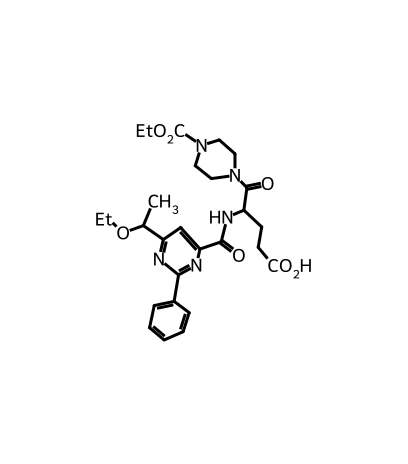 CCOC(=O)N1CCN(C(=O)C(CCC(=O)O)NC(=O)c2cc(C(C)OCC)nc(-c3ccccc3)n2)CC1